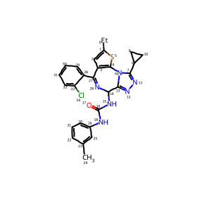 CCc1cc2c(s1)-n1c(C3CC3)nnc1C(NC(=O)Nc1cccc(C)c1)N=C2c1ccccc1Cl